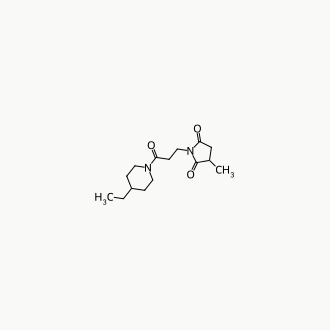 CCC1CCN(C(=O)CCN2C(=O)CC(C)C2=O)CC1